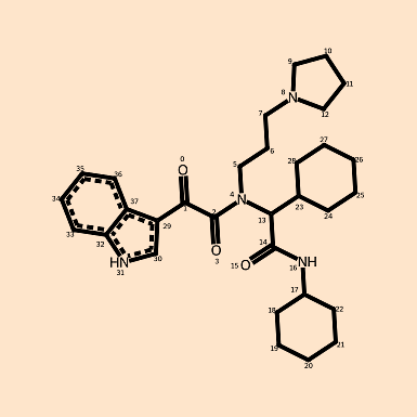 O=C(C(=O)N(CCCN1CCCC1)C(C(=O)NC1CCCCC1)C1CCCCC1)c1c[nH]c2ccccc12